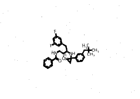 CC(C)(C)Cc1cccc(C2(NC(Cc3cc(F)cc(F)c3)[C@H](O)CNC(=O)c3ccccc3)CC2)c1